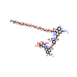 CC[C@@]1(O)C(=O)OCC2=C1C=C1c3nc4cc(F)c(C)c5c4c(c3CN1C2O)[C@@H](NC(=O)OCc1ccc(NC(=O)[C@H](CCCCN)NC(=O)[C@H](CC2=CCCC=C2)NC(=O)CCOCCOCCOCCOCCOCCOCCOCCOCCOCCC(C)C)c(C)c1)CC5